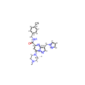 C[C@@H]1CN(C)CCN1c1cc(C(=O)NCc2ccc(C#N)cc2)nc2c(Cn3cccn3)cnn12